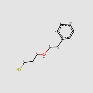 SCCCOCCc1ccccc1